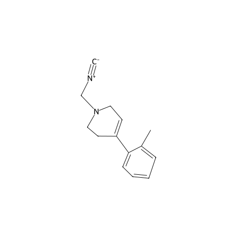 [C-]#[N+]CN1CC=C(c2ccccc2C)CC1